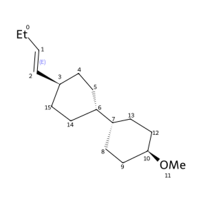 CC/C=C/[C@H]1CC[C@H]([C@H]2CC[C@H](OC)CC2)CC1